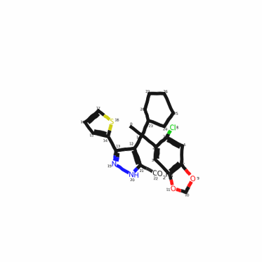 CC(c1cc2c(cc1Cl)OCO2)(c1c(-c2cccs2)n[nH]c1C(=O)O)C1CCCCC1